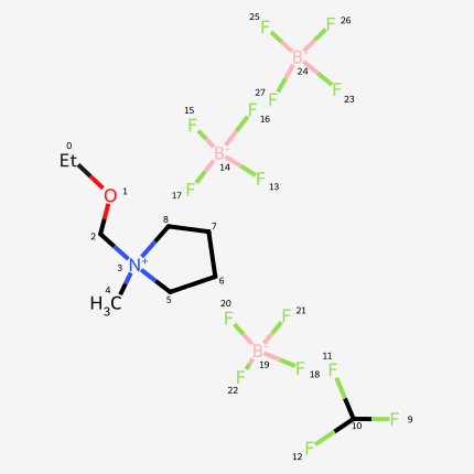 CCOC[N+]1(C)CCCC1.FC(F)F.F[B-](F)(F)F.F[B-](F)(F)F.F[B-](F)(F)F